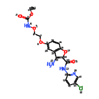 CC(C)(C)OC(=O)NOCCOc1ccc2oc(C(=O)Nc3ccc(Cl)cn3)c(N)c2c1